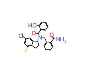 NC(=O)c1ccccc1CN(C(=O)c1ccccc1O)[C@@H]1CCc2c(F)cc(Cl)cc21